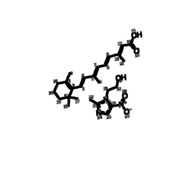 CC1=C(/C=C/C(C)=C/C=C/C(C)=C/C(=O)O)C(C)(C)CCC1.Cc1ncc([N+](=O)[O-])n1CCO